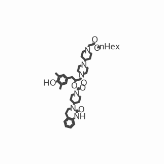 CCCCCCOC(=O)CN1CCC(N2CCN(C(=O)C(Cc3cc(C)c(O)c(C)c3)OC(=O)N3CCC(N4CCc5ccccc5NC4=O)CC3)CC2)CC1